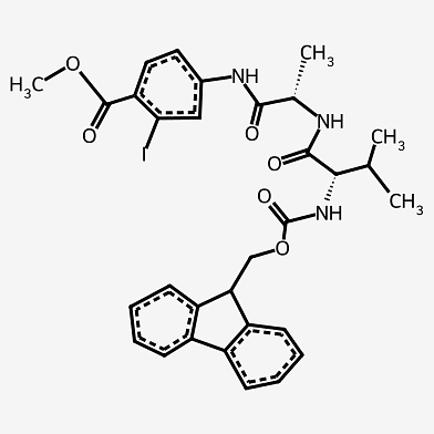 COC(=O)c1ccc(NC(=O)[C@H](C)NC(=O)[C@@H](NC(=O)OCC2c3ccccc3-c3ccccc32)C(C)C)cc1I